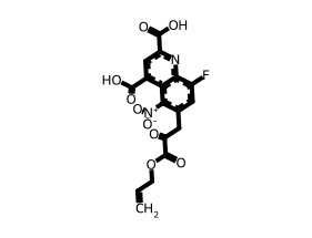 C=CCOC(=O)C(=O)Cc1cc(F)c2nc(C(=O)O)cc(C(=O)O)c2c1[N+](=O)[O-]